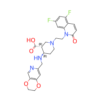 O=C(O)[C@@H]1CN(CCn2c(=O)ccc3c(F)cc(F)cc32)CC[C@H]1NCc1cc2c(cn1)OCCO2